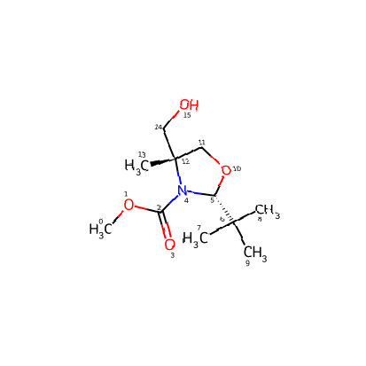 COC(=O)N1[C@@H](C(C)(C)C)OC[C@@]1(C)CO